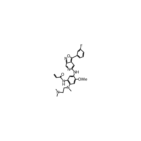 C=CC(=O)Nc1cc(Nc2cc3c(-c4cccc(F)c4)onc3cn2)c(OC)cc1N(C)CCN(C)C